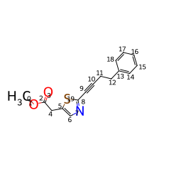 COC(=O)Cc1cnc(C#CCCc2ccccc2)s1